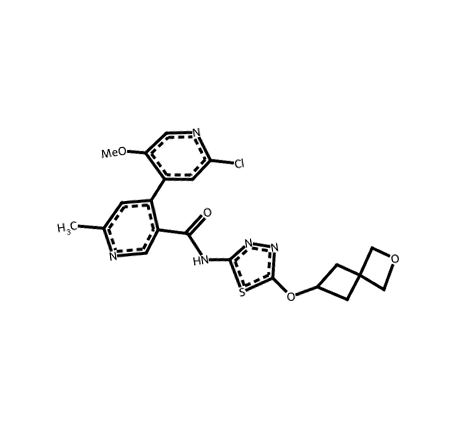 COc1cnc(Cl)cc1-c1cc(C)ncc1C(=O)Nc1nnc(OC2CC3(COC3)C2)s1